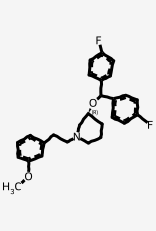 COc1cccc(CCN2CCC[C@@H](OC(c3ccc(F)cc3)c3ccc(F)cc3)C2)c1